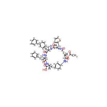 CC(=O)O[C@@H]1CC(=O)N[C@H](Cc2cccs2)C(=O)N[C@@H](Cc2ccc(-c3ccccc3)cc2)C(=O)N[C@H](CCc2ccccc2)C(=O)N[C@@H](C(=O)O)Cc2ccc(cc2)NC1=O